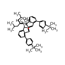 CC(C)C[C](CC(C)C)=[Hf]([CH3])([CH3])([CH]1C=Cc2c(-c3ccc([Si](C)(C)C)cc3)cccc21)[CH]1C=Cc2c(-c3ccc([Si](C)(C)C)cc3)cccc21